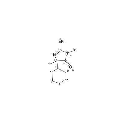 CCCC1=NC(C)(C2CCCCC2)C(=O)N1C